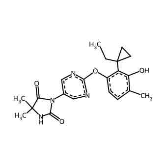 CCC1(c2c(Oc3ncc(N4C(=O)NC(C)(C)C4=O)cn3)ccc(C)c2O)CC1